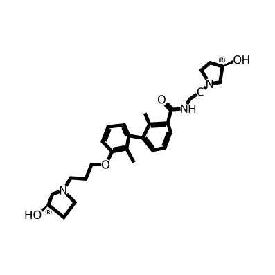 Cc1c(OCCCN2CC[C@@H](O)C2)cccc1-c1cccc(C(=O)NCCN2CC[C@@H](O)C2)c1C